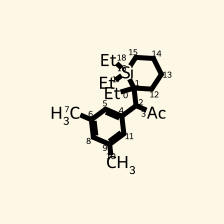 CCC1(C(C(C)=O)c2cc(C)cc(C)c2)CCCC[Si]1(CC)CC